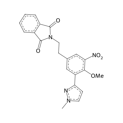 COc1c(-c2ccn(C)n2)cc(CCN2C(=O)c3ccccc3C2=O)cc1[N+](=O)[O-]